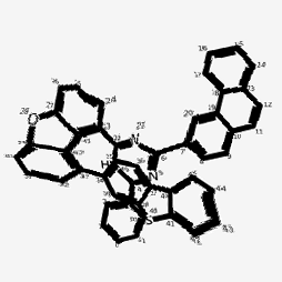 c1ccc(C2N=C(c3ccc4ccc5ccccc5c4c3)N=C(c3cccc4oc5cccc(-c6ccc7c(c6)sc6ccccc67)c5c34)N2)cc1